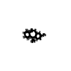 CC(C)[C@H]1c2ccc(F)cc2CSc2ccccc21